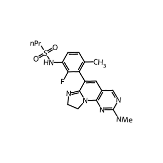 CCCS(=O)(=O)Nc1ccc(C)c(C2=Cc3cnc(NC)nc3N3CCN=C23)c1F